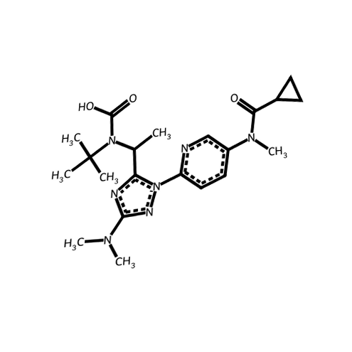 CC(c1nc(N(C)C)nn1-c1ccc(N(C)C(=O)C2CC2)cn1)N(C(=O)O)C(C)(C)C